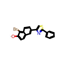 [O]c1ccc2cc(-c3csc(-c4ccccc4)n3)ccc2c1Br